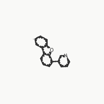 [c]1ccc2oc3c(-c4cccnc4)cccc3c2c1